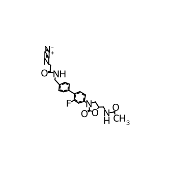 CC(=O)NCC1CN(c2ccc(-c3ccc(CNC(=O)CN=[N+]=[N-])cc3)c(F)c2)C(=O)O1